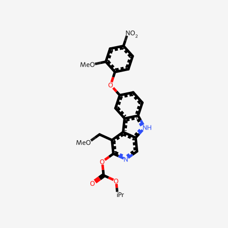 COCc1c(OC(=O)OC(C)C)ncc2[nH]c3ccc(Oc4ccc([N+](=O)[O-])cc4OC)cc3c12